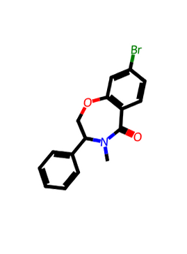 CN1C(=O)c2ccc(Br)cc2OCC1c1ccccc1